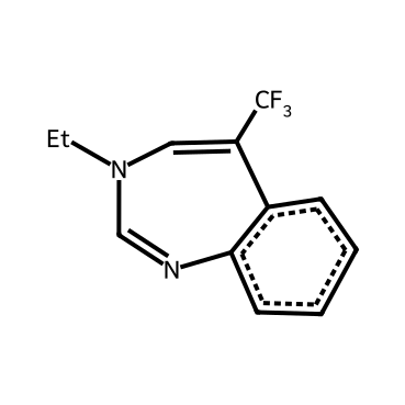 CCN1C=Nc2ccccc2C(C(F)(F)F)=C1